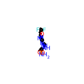 Cc1ccc(Nc2nccc(N(C)c3ccc4c(c3)nc(CC(=O)Cc3cc(F)ccc3F)n4C)n2)cc1S(N)(=O)=O